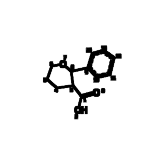 O=C(O)C1CCCOC1c1ccccc1